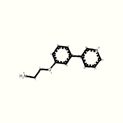 NCCOc1cccc(-c2cccnc2)c1